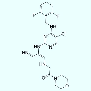 N=C/C(=C\NCC(=O)N1CCOCC1)Nc1ncc(Cl)c(NCC2=C(F)CCC=C2F)n1